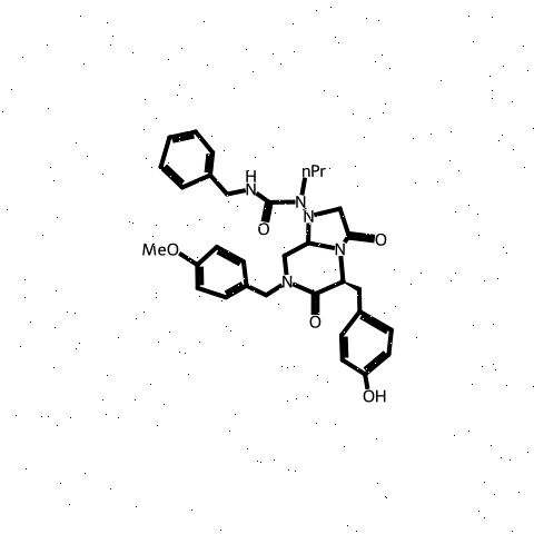 CCCN(C(=O)NCc1ccccc1)N1CC(=O)N2C1CN(Cc1ccc(OC)cc1)C(=O)[C@@H]2Cc1ccc(O)cc1